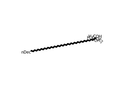 CCCCCCCCCCCCCCCCCCCCCCCCCCCCCCCCCCCCCCCCCCCCCCCCC(C)(C)C(C)(C)O